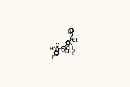 CCN(CCc1ccccn1)c1ccc(C2=C/C(=C3\C(=O)Nc4cc(F)ccc43)OC2(C)C)cn1